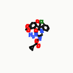 N/C(CN1C(=O)C2(COc3cc4c(cc32)OCO4)c2c(Cl)cccc21)=N\OC(=O)C1CC1